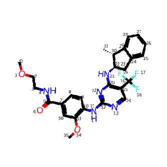 COCCNC(=O)c1ccc(Nc2ncc(C(F)(F)F)c(N[C@@H]3Cc4ccccc4[C@H]3C)n2)c(OC)c1